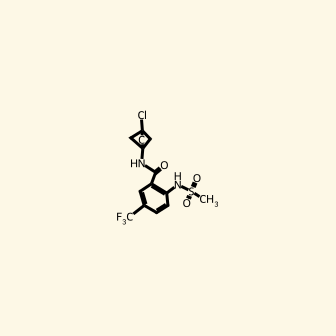 CS(=O)(=O)Nc1ccc(C(F)(F)F)cc1C(=O)NC12CC(Cl)(C1)C2